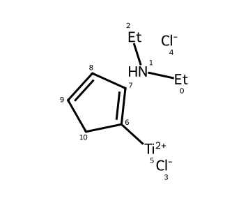 CCNCC.[Cl-].[Cl-].[Ti+2][C]1=CC=CC1